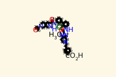 Cn1c(C(=O)Nc2cccc(-c3cccc(NC(=O)c4cc5c(cn4)CN(C4COC4)CC5)c3Cl)c2Cl)nc2c1CCN(CCC13CCC(C(=O)O)(CC1)C3)C2